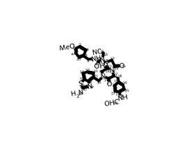 COc1ccc(CNC(=O)N(CC#N)N2CC(=O)N3[C@@H](Cc4ccc(NC=O)cc4)C(=O)N(Cc4cccc5sc(N)nc45)C[C@@H]32)cc1